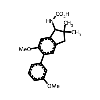 COc1cccc(-c2cc3c(cc2OC)C(NC(=O)O)C(C)(C)C3)c1